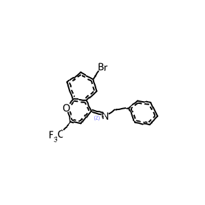 FC(F)(F)c1c/c(=N/Cc2ccccc2)c2cc(Br)ccc2o1